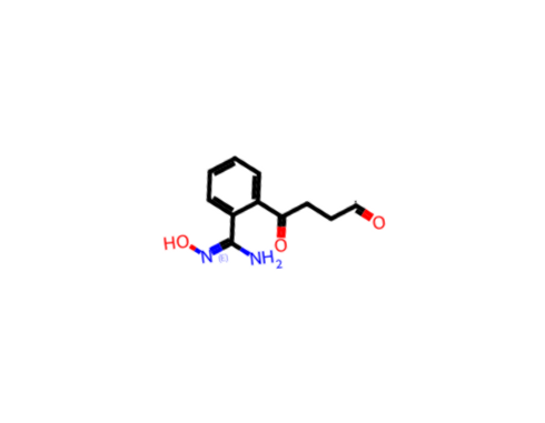 N/C(=N/O)c1ccccc1C(=O)CC[C]=O